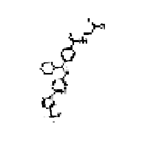 O=C(O)CCNC(=O)c1ccc([C@@H](Nc2ccc(-n3cc(C(F)(F)F)cn3)nc2)C2CCCCC2)cc1